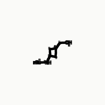 CCCCNC1CC(CO)C1